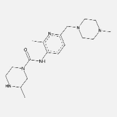 Cc1nc(CN2CCN(C)CC2)ccc1NC(=O)N1CCNC(C)C1